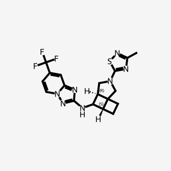 Cc1nsc(N2C[C@@H]3C(Nc4nc5cc(C(F)(F)F)ccn5n4)[C@H]4CCC43C2)n1